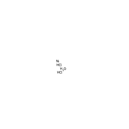 Cl.Cl.O.[Ni]